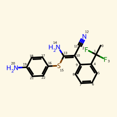 CC(F)(F)c1ccccc1/C(C#N)=C(/N)Sc1ccc(N)cc1